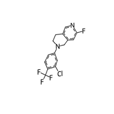 Fc1cc2c(cn1)CCN(c1ccc(C(F)(F)F)c(Cl)c1)C2